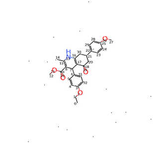 CCOc1ccc(C2C(C(=O)OC)=C(C)NC3=C2C(=O)CC(c2ccc(OC)cc2)C3)cc1